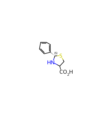 O=C(O)C1CS[C@@H](c2ccccc2)N1